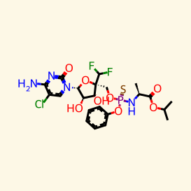 CC(C)OC(=O)[C@H](C)NP(=S)(OC[C@@]1(C(F)F)O[C@@H](n2cc(Cl)c(N)nc2=O)[C@H](O)[C@@H]1O)Oc1ccccc1